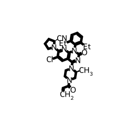 C=CC(=O)N1CCN(c2nc(=O)n(-c3c(CC)cccc3CC)c3nc(N4CCC[C@@H]4C#N)c(Cl)cc23)[C@@H](C)C1